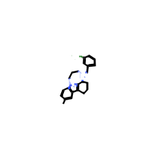 Cc1ccc2c(c1)c1c3n2CCCN(Cc2cccc(Cl)c2)C3CCC1